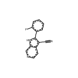 N#Cc1c(-c2ccccc2F)[nH]c2cnccc12